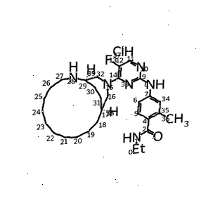 CCNC(=O)c1ccc(Nc2ncc(F)c(N3C[C@H]4CCCCCCCCCCN[C@H](CC4)C3)n2)cc1C.Cl